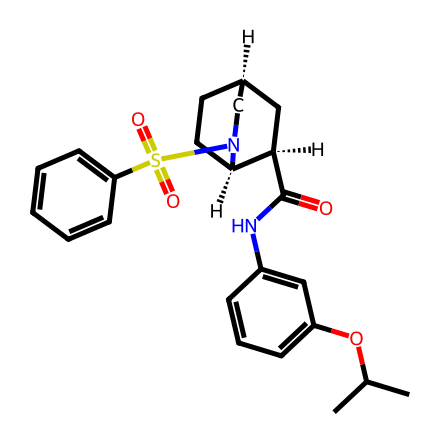 CC(C)Oc1cccc(NC(=O)[C@@H]2C[C@@H]3CC[C@H]2N(S(=O)(=O)c2ccccc2)C3)c1